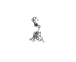 Cc1cc(C)c(N2C(=O)CS/C2=N\C(=O)NCCCCc2cccc(-c3ncn(-c4ccc(OC(F)(F)F)cc4)n3)c2)c(C)c1